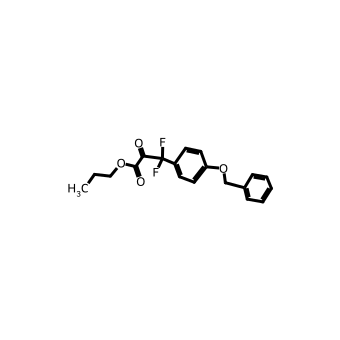 CCCOC(=O)C(=O)C(F)(F)c1ccc(OCc2ccccc2)cc1